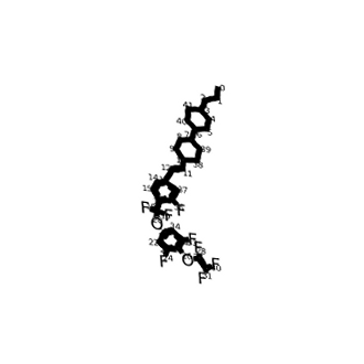 CCCC1CCC(C2CCC(/C=C/c3ccc(C(F)(F)Oc4cc(F)c(OC(F)=C(F)F)c(F)c4)c(F)c3)CC2)CC1